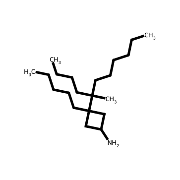 CCCCCCC(C)(CCCC)C1(CCCCC)CC(N)C1